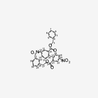 O=C(OCc1ccccc1)c1cc([N+](=O)[O-])ccc1-c1ccc([N+](=O)[O-])cc1C(=O)OCc1ccccc1